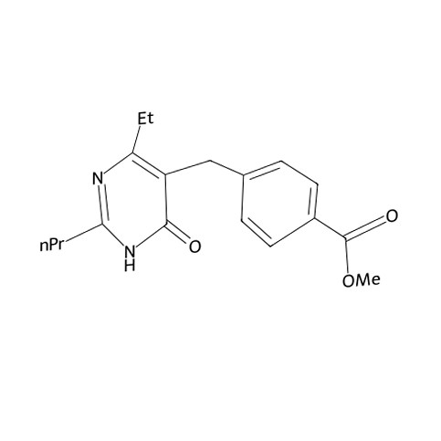 CCCc1nc(CC)c(Cc2ccc(C(=O)OC)cc2)c(=O)[nH]1